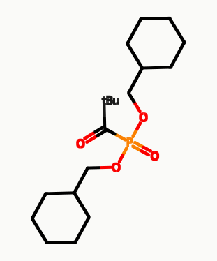 CC(C)(C)C(=O)P(=O)(OCC1CCCCC1)OCC1CCCCC1